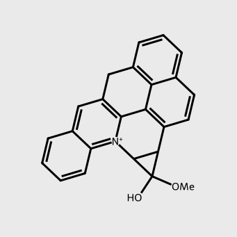 COC1(O)C2c3ccc4cccc5c4c3-c3c(cc4ccccc4[n+]3C21)C5